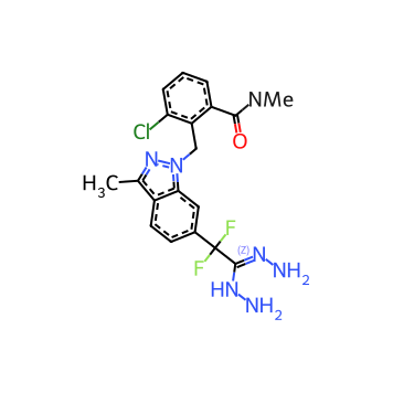 CNC(=O)c1cccc(Cl)c1Cn1nc(C)c2ccc(C(F)(F)/C(=N/N)NN)cc21